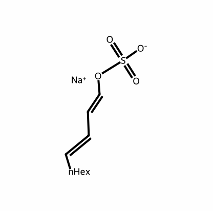 CCCCCC/C=C/C=C/OS(=O)(=O)[O-].[Na+]